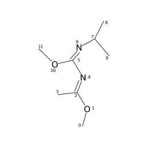 CO/C(C)=N/C(=N\C(C)C)OC